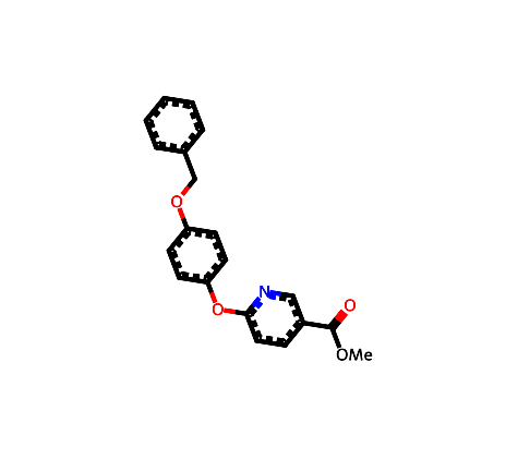 COC(=O)c1ccc(Oc2ccc(OCc3ccccc3)cc2)nc1